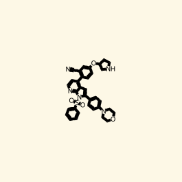 N#Cc1cc(OC2CCNC2)ccc1-c1ccnc2c1cc(-c1ccc(N3CCOCC3)cc1)n2S(=O)(=O)c1ccccc1